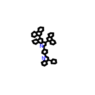 c1ccc(-c2cc(-c3ccc(-c4cc(-c5cc6ccccc6c6ccccc56)c5cc(-c6cc7ccccc7c7ccccc67)c6ccccc6c5n4)cc3)nc3ccccc23)cc1